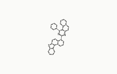 c1ccc(-c2nc(-c3cccc4c3ccc3sc5ccccc5c34)nc3ccc4ccccc4c23)cc1